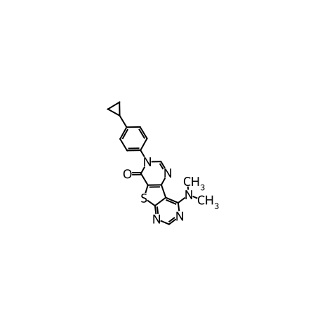 CN(C)c1ncnc2sc3c(=O)n(-c4ccc(C5CC5)cc4)cnc3c12